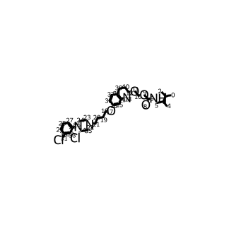 CC(C)C(C)CNC(=O)OCOC1=Nc2cc(OCCCCN3CCN(c4cccc(Cl)c4Cl)CC3)ccc2CC1